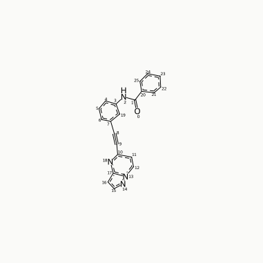 O=C(Nc1cccc(C#Cc2ccn3nccc3n2)c1)c1ccccc1